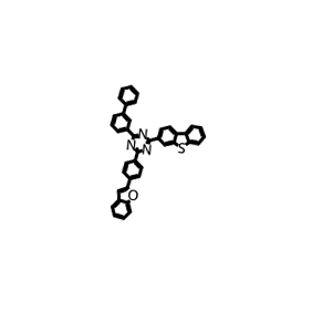 c1ccc(-c2cccc(-c3nc(-c4ccc(-c5cc6ccccc6o5)cc4)nc(-c4ccc5c(c4)sc4ccccc45)n3)c2)cc1